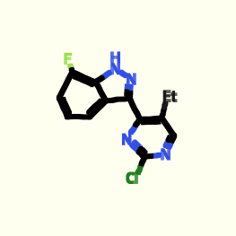 CCc1cnc(Cl)nc1-c1n[nH]c2c(F)cccc12